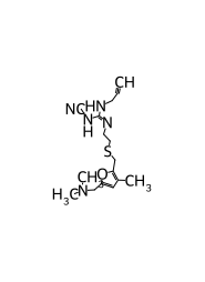 C#CCN/C(=N/CCSCc1oc(CN(C)C)cc1C)NC#N